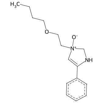 CCCCOCC[N+]1([O-])C=C(c2ccccc2)NC1